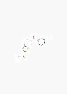 O=C(NO)c1cc2c(s1)CN(C(=O)c1cccc(O)n1)CC2